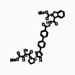 COC(=O)N[C@H](C(=O)N1CCC[C@H]1c1nc(-c2ccc(-c3ccc(C(=O)CNC(=O)C4c5ccccc5CN4C(=O)OC(C)(C)C)cc3)cc2)c[nH]1)C(C)C